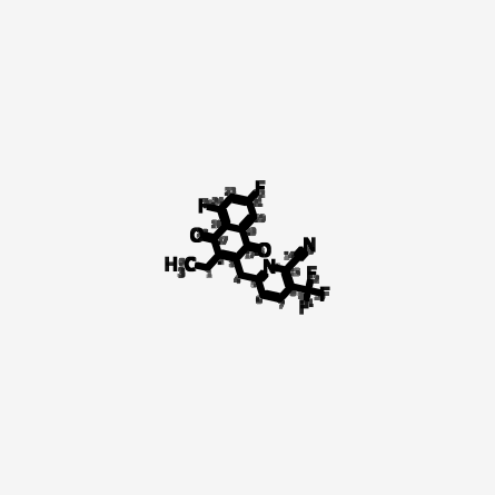 CCC1=C(Cc2ccc(C(F)(F)F)c(C#N)n2)C(=O)c2cc(F)cc(F)c2C1=O